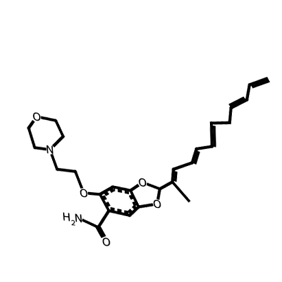 C=CC=CCC=CC=CC=C(C)C1Oc2cc(OCCN3CCOCC3)c(C(N)=O)cc2O1